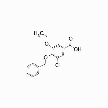 CCOc1cc(C(=O)O)cc(Cl)c1OCc1ccccc1